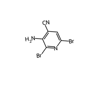 N#Cc1cc(Br)nc(Br)c1N